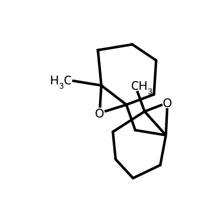 CC12CCCCC1(CC13CCCCC1(C)O3)O2